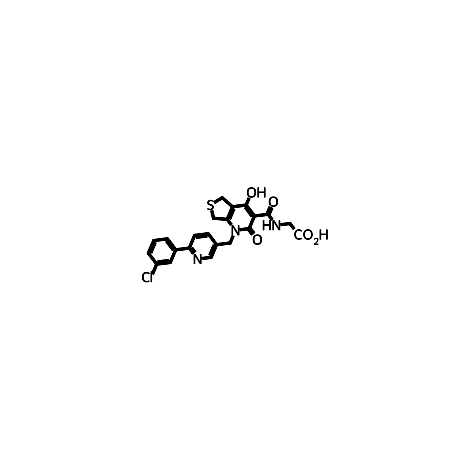 O=C(O)CNC(=O)c1c(O)c2c(n(Cc3ccc(-c4cccc(Cl)c4)nc3)c1=O)CSC2